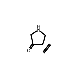 C=C.O=C1CCNC1